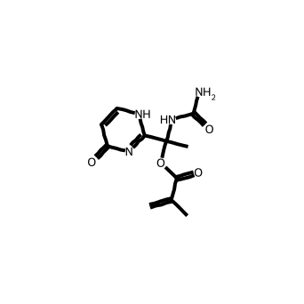 C=C(C)C(=O)OC(C)(NC(N)=O)c1nc(=O)cc[nH]1